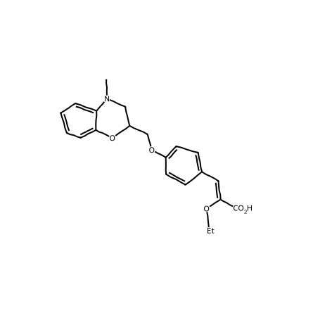 CCO/C(=C\c1ccc(OCC2CN(C)c3ccccc3O2)cc1)C(=O)O